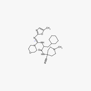 Cc1cnc(/N=C(\NC(CC2CCCCC2)C(=O)NC2(C#N)CCN(C)CC2)N2CCOCC2)o1